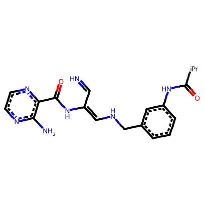 CC(C)C(=O)Nc1cccc(CN/C=C(\C=N)NC(=O)c2nccnc2N)c1